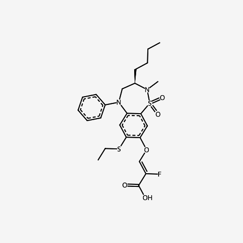 CCCC[C@@H]1CN(c2ccccc2)c2cc(SCC)c(O/C=C(\F)C(=O)O)cc2S(=O)(=O)N1C